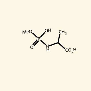 COP(=O)(O)NC(C)C(=O)O